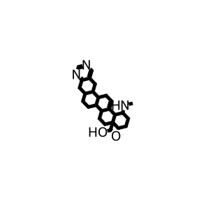 CNC1CCCC2(C(=O)O)CCC3C(=CCC4C5Cc6cncnc6CC5CCC34)C12